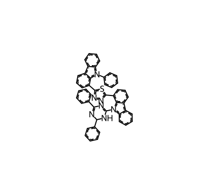 c1ccc(C2=NC(c3ccccc3)NC(n3c4ccccc4c4cccc(-c5nnc(-c6cccc7c8ccccc8n(-c8ccccc8)c67)s5)c43)=N2)cc1